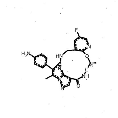 Cc1c(-c2ccc(N)cc2)c2nc3c(cnn13)C(=O)NC[C@H](C)Oc1ncc(F)cc1CN2